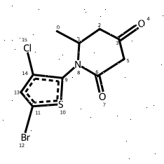 CC1CC(=O)CC(=O)N1c1sc(Br)cc1Cl